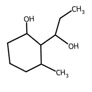 CCC(O)C1C(C)CCCC1O